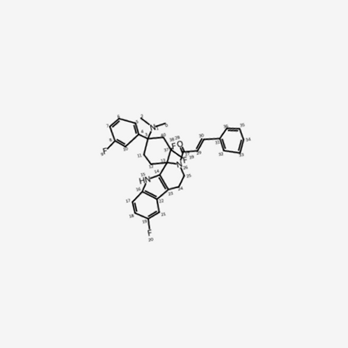 CN(C)C1(c2cccc(F)c2)CCC2(c3[nH]c4ccc(F)cc4c3CCN2C(=O)/C=C/c2ccccc2)C(F)(F)C1